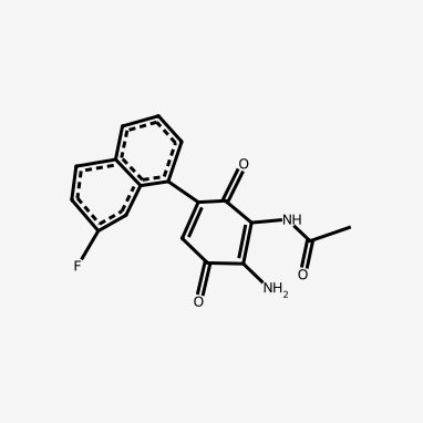 CC(=O)NC1=C(N)C(=O)C=C(c2cccc3ccc(F)cc23)C1=O